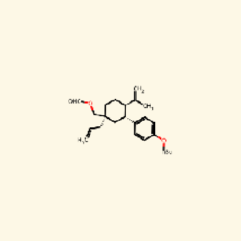 C=CC[C@]1(COC=O)CC[C@@H](C(=C)C)[C@H](c2ccc(OCCCC)cc2)C1